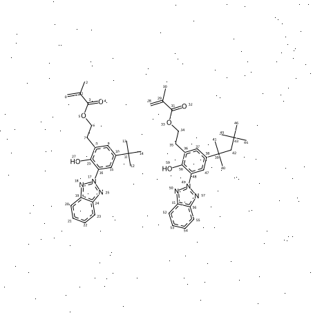 C=C(C)C(=O)OCCc1cc(C(C)(C)C)cc(-n2nc3ccccc3n2)c1O.C=C(C)C(=O)OCCc1cc(C(C)(C)CC(C)(C)C)cc(-n2nc3ccccc3n2)c1O